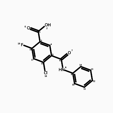 O=C(O)c1cc(C(=O)Nc2ccccc2)c(Cl)cc1F